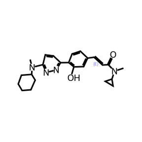 CN(C(=O)/C=C/c1ccc(-c2ccc(N(C)C3CCCCC3)nn2)c(O)c1)C1CC1